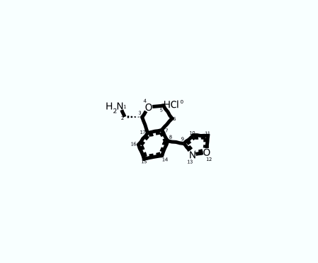 Cl.NC[C@@H]1OCCc2c(-c3ccon3)cccc21